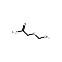 CCOCC(C)=O